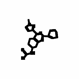 CCC(=O)NC1CCc2c(nc(-c3ccccc3)nc2-c2ccn(C)n2)C1